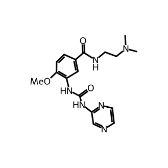 COc1ccc(C(=O)NCCN(C)C)cc1NC(=O)Nc1cnccn1